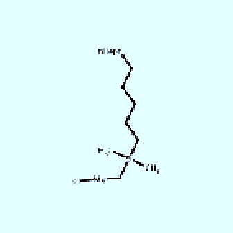 CCCCCCCCCCCC[Si](C)(C)[CH2][Mg][Cl]